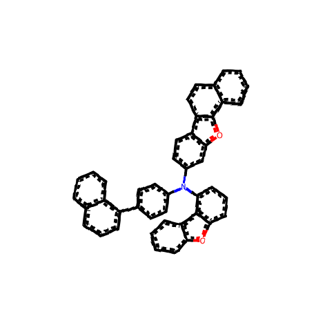 c1ccc2c(-c3ccc(N(c4ccc5c(c4)oc4c6ccccc6ccc54)c4cccc5oc6ccccc6c45)cc3)cccc2c1